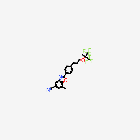 Cc1cc(C#N)cc2nc(-c3ccc(CCCOC(C)(C(F)(F)F)C(F)(F)F)cc3)oc12